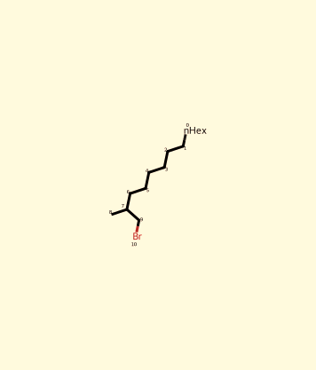 CCCCCCCCCCCCC(C)CBr